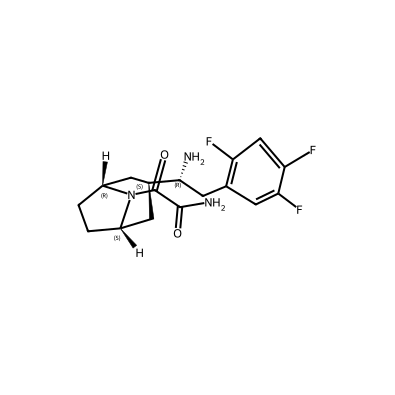 NC(=O)C(=O)N1[C@@H]2CC[C@H]1C[C@H]([C@H](N)Cc1cc(F)c(F)cc1F)C2